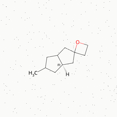 CC1CC2CC3(CCO3)C[C@H]2C1